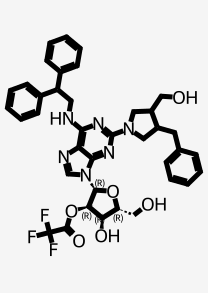 O=C(O[C@@H]1[C@H](O)[C@@H](CO)O[C@H]1n1cnc2c(NCC(c3ccccc3)c3ccccc3)nc(N3CC(CO)C(Cc4ccccc4)C3)nc21)C(F)(F)F